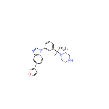 CCOC(=O)C(C)(c1cccc(-n2cnc3cc(-c4ccoc4)ccc32)c1)N1CCNCC1